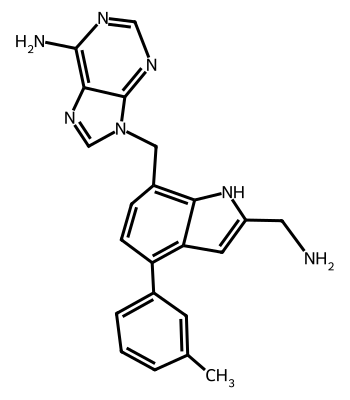 Cc1cccc(-c2ccc(Cn3cnc4c(N)ncnc43)c3[nH]c(CN)cc23)c1